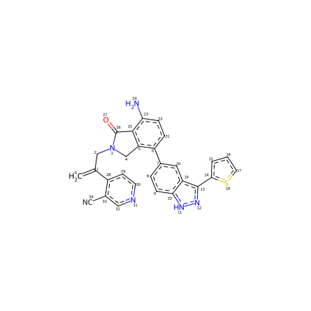 C=C(CN1Cc2c(-c3ccc4[nH]nc(-c5cccs5)c4c3)ccc(N)c2C1=O)c1ccncc1C#N